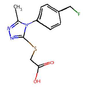 Cc1nnc(SCC(=O)O)n1-c1ccc(CF)cc1